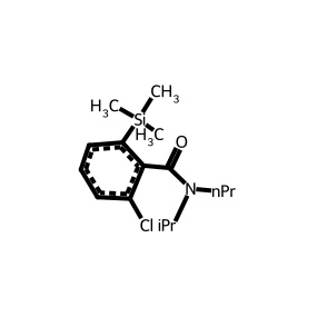 CCCN(C(=O)c1c(Cl)cccc1[Si](C)(C)C)C(C)C